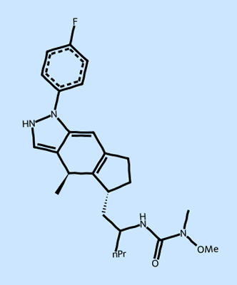 CCCC(C[C@H]1CCC2=C1[C@@H](C)C1=CNN(c3ccc(F)cc3)C1=C2)NC(=O)N(C)OC